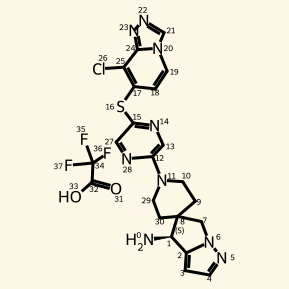 N[C@@H]1c2ccnn2CC12CCN(c1cnc(Sc3ccn4cnnc4c3Cl)cn1)CC2.O=C(O)C(F)(F)F